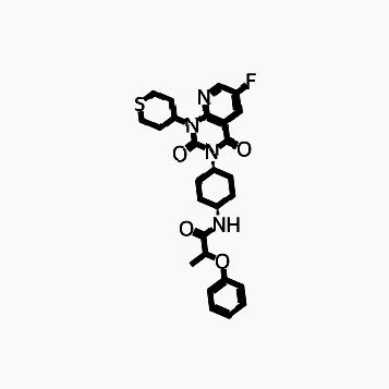 CC(Oc1ccccc1)C(=O)N[C@H]1CC[C@@H](n2c(=O)c3cc(F)cnc3n(C3CCSCC3)c2=O)CC1